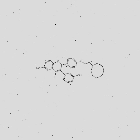 CC1=C(c2cccc(O)c2)C(c2ccc(OCCN3CCCCCCC3)cc2)Oc2ccc(O)cc21